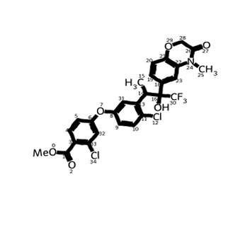 COC(=O)c1ccc(Oc2ccc(Cl)c(C(C)C(O)(c3ccc4c(c3)N(C)C(=O)CO4)C(F)(F)F)c2)cc1Cl